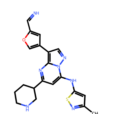 Cc1cc(Nc2cc(C3CCCNC3)nc3c(-c4coc(C=N)c4)cnn23)sn1